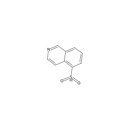 O=[SH](=O)c1cccc2cnccc12